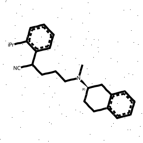 CC(C)c1ccccc1C(C#N)CCCN(C)[C@@H]1CCc2ccccc2C1